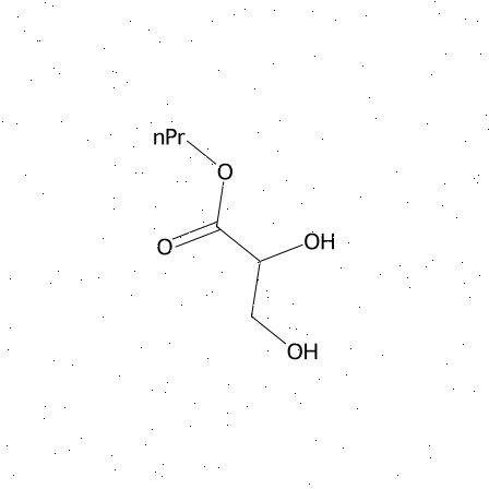 [CH2]CCOC(=O)C(O)CO